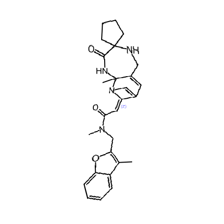 Cc1c(CN(C)C(=O)/C=C2/C3=CN2C2(C)NC(=O)C4(CCCC4)NCC2=C3)oc2ccccc12